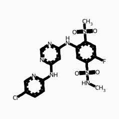 CNS(=O)(=O)c1cc(Nc2cc(Nc3ccc(Cl)cn3)ncn2)c(S(C)(=O)=O)cc1F